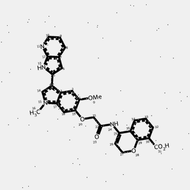 COc1cc2c(-c3cc4cccnc4[nH]3)cn(C)c2cc1OCC(=O)NC1=CCOc2c(C(=O)O)cccc21